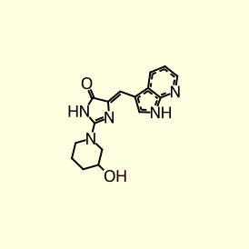 O=C1NC(N2CCCC(O)C2)=NC1=Cc1c[nH]c2ncccc12